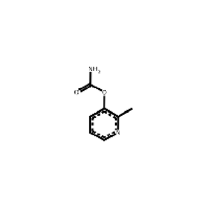 Cc1ncccc1OC(N)=O